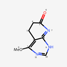 COC1=C2CCC(=O)N=C2NC=N1